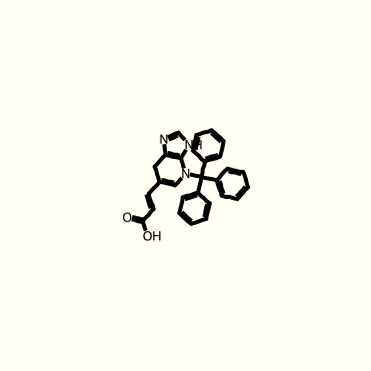 O=C(O)/C=C/C1=CN(C(c2ccccc2)(c2ccccc2)c2ccccc2)c2[nH]cnc2C1